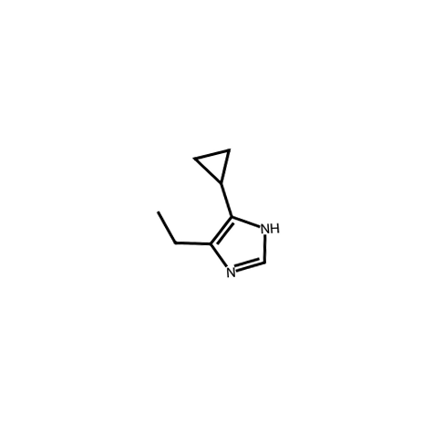 CCc1nc[nH]c1C1CC1